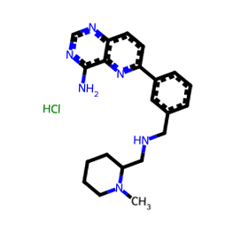 CN1CCCCC1CNCc1cccc(-c2ccc3ncnc(N)c3n2)c1.Cl